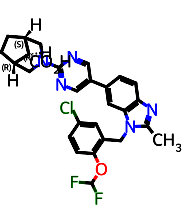 Cc1nc2ccc(-c3cnc(N4C[C@H]5CC[C@@H](C4)[C@@H]5C(=O)O)nc3)cc2n1Cc1cc(Cl)ccc1OC(F)F